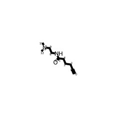 C#CCCCC(=O)NCCN(C)C